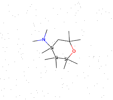 CN(C)[Si]1(C)CC(C)(C)O[Si](C)(C)[Si]1(C)C